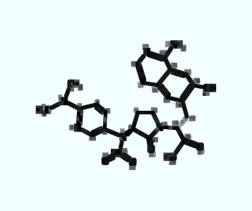 CN(C)c1ccc(N([C@H]2CCN([C@H](Cc3cc4ccnc(N)c4cc3O)C(=O)O)C2=O)[SH](=O)=O)cn1